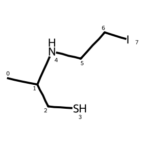 CC(CS)NCCI